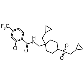 O=C(NCC1(CC2CC2)CCC(S(=O)(=O)CC2CC2)CC1)c1ccc(C(F)(F)F)cc1Cl